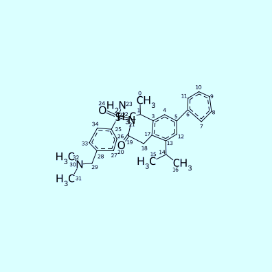 CC(C)c1cc(-c2ccccc2)cc(C(C)C)c1CC(=O)N=S(N)(=O)c1ccc(CN(C)C)cc1